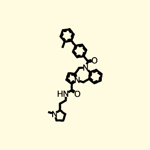 Cc1ccccc1-c1ccc(C(=O)N2Cc3ccc(C(=O)NCCC4CCCN4C)n3Cc3ccccc32)cc1